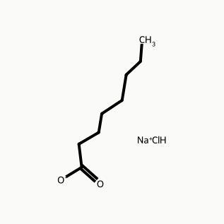 CCCCCCCC(=O)[O-].Cl.[Na+]